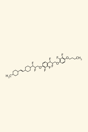 CCCCOc1ccc(OCC(F)C(F)c2ccc(OCC(F)C(F)C3CCC(/C=C/C4CCC(C)CC4)CC3)c(F)c2F)c(F)c1F